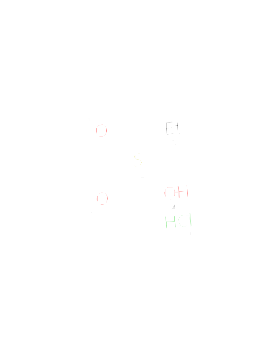 CCS(=O)(=O)O.Cl